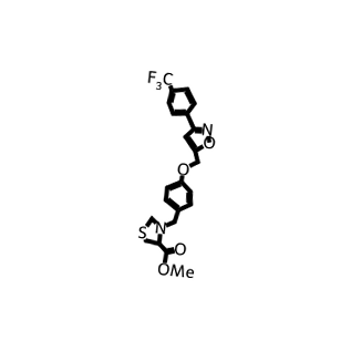 COC(=O)C1CSCN1Cc1ccc(OCc2cc(-c3ccc(C(F)(F)F)cc3)no2)cc1